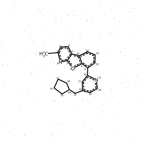 Cc1ccc2c(n1)oc1c(-c3cc(CC4CCCC4)ccn3)cccc12